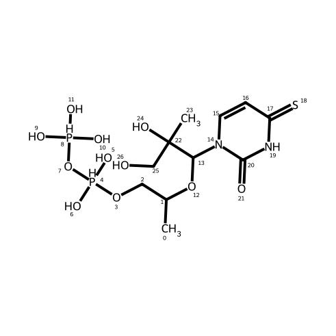 CC(CO[PH](O)(O)O[PH](O)(O)O)OC(n1ccc(=S)[nH]c1=O)C(C)(O)CO